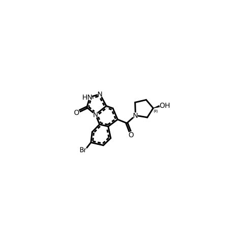 O=C(c1cc2n[nH]c(=O)n2c2cc(Br)ccc12)N1CC[C@@H](O)C1